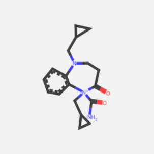 NC(=O)[N+]1(CC2CC2)C(=O)[CH]CN(CC2CC2)c2ccccc21